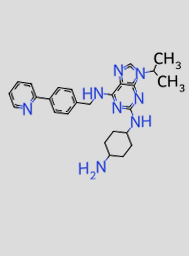 CC(C)n1cnc2c(NCc3ccc(-c4ccccn4)cc3)nc(NC3CCC(N)CC3)nc21